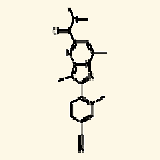 Cc1cc(C#N)ccc1-c1nn2c(C)cc(C(=O)N(C)C)nc2c1C